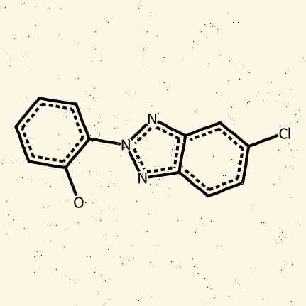 [O]c1ccccc1-n1nc2ccc(Cl)cc2n1